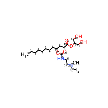 CCCCCCCCC(CCC(=O)OC(CO)CO)OC(=O)NCCN(C)C